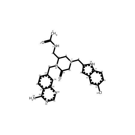 CC(=O)NCC1CN(Cc2cc3cc(Cl)ccc3[nH]2)CC(=O)N1Cc1ccc2c(N)ncnc2c1